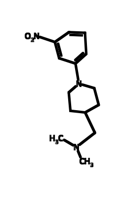 CN(C)CC1CCN(c2cccc([N+](=O)[O-])c2)CC1